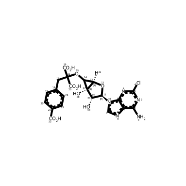 Nc1nc(Cl)nc2c1ncn2[C@@H]1O[C@@H]2C(OC(Cc3ccc(C(=O)O)cc3)(C(=O)O)C(=O)O)[C@]2(O)[C@H]1O